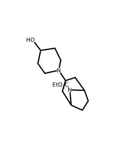 CCOC(=O)N1C2CCC1CC(N1CCC(O)CC1)C2